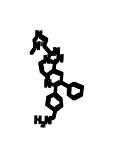 C[N+]1=C(c2nnc3c4cc(-c5ccccc5)c(-c5ccc(CN)cc5)nc4ccn23)C=NC1